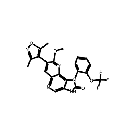 COc1nc2c(cc1-c1c(C)noc1C)ncc1[nH]c(=O)n(-c3ccccc3OC(F)(F)F)c12